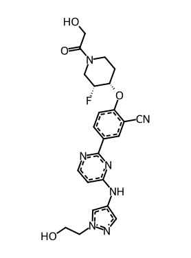 N#Cc1cc(-c2nccc(Nc3cnn(CCO)c3)n2)ccc1O[C@H]1CCN(C(=O)CO)C[C@H]1F